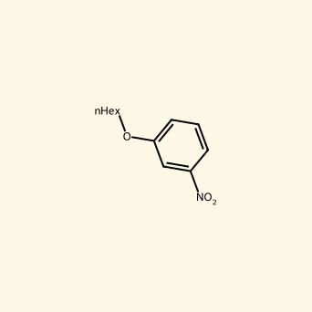 CCCCCCOc1cccc([N+](=O)[O-])c1